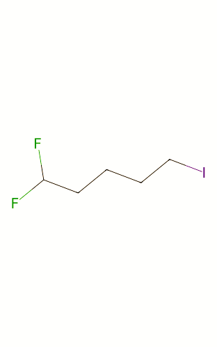 FC(F)CCCCI